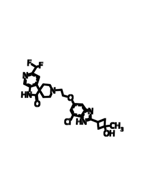 CC1(O)CC(c2nc3cc(OCCN4CCC5(CC4)C(=O)Nc4cnc(C(F)F)cc45)cc(Cl)c3[nH]2)C1